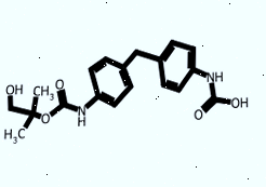 CC(C)(CO)OC(=O)Nc1ccc(Cc2ccc(NC(=O)O)cc2)cc1